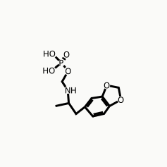 CC(Cc1ccc2c(c1)OCO2)NCOP(=O)(O)O